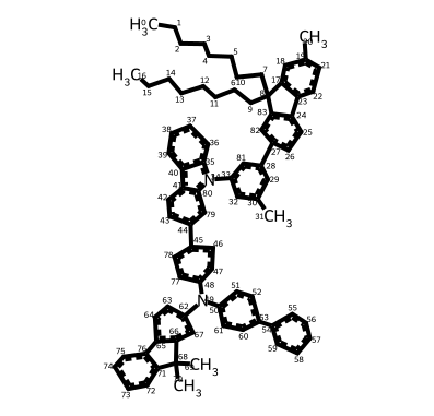 CCCCCCCCC1(CCCCCCCC)c2cc(C)ccc2-c2ccc(-c3cc(C)cc(-n4c5ccccc5c5ccc(-c6ccc(N(c7ccc(-c8ccccc8)cc7)c7ccc8c(c7)C(C)(C)c7ccccc7-8)cc6)cc54)c3)cc21